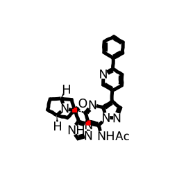 CC(=O)Nc1cc([C@@H]2C[C@H]3CC[C@@H](C2)N3C(=O)c2nnc[nH]2)nc2c(-c3ccc(-c4ccccc4)nc3)cnn12